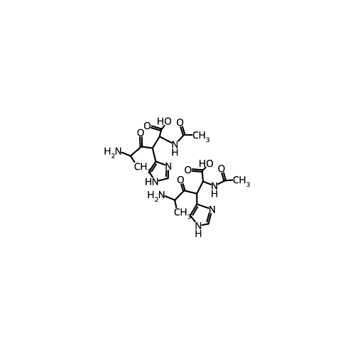 CC(=O)NC(C(=O)O)C(C(=O)C(C)N)c1c[nH]cn1.CC(=O)NC(C(=O)O)C(C(=O)C(C)N)c1c[nH]cn1